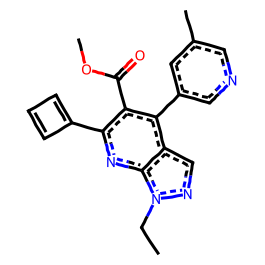 CCn1ncc2c(-c3cncc(C)c3)c(C(=O)OC)c(C3=CC=C3)nc21